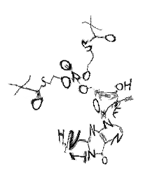 C#C[C@@]1(F)[C@H](O)[C@@H](COP(=O)(OCCSC(=O)C(C)(C)C)OCCSC(=O)C(C)(C)C)O[C@H]1n1cnc2c(=O)[nH]c(N)nc21